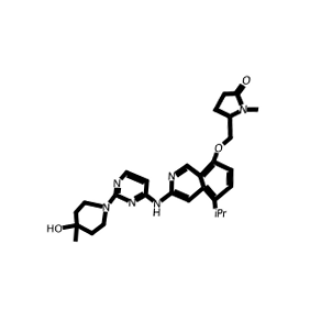 CC(C)c1ccc(OCC2CCC(=O)N2C)c2cnc(Nc3ccnc(N4CCC(C)(O)CC4)n3)cc12